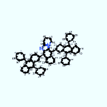 c1ccc(-c2c3ccccc3c(-c3ccccc3)c3cc(-c4c5ccccc5c(-c5ccc6c(-c7ccccc7)c7ccccc7c(-c7ccccc7)c6c5)c5c4nc4ccccn45)ccc23)cc1